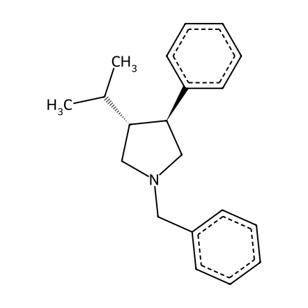 CC(C)[C@H]1CN(Cc2ccccc2)C[C@@H]1c1ccccc1